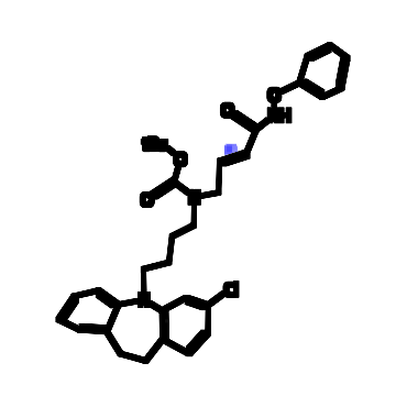 CC(C)(C)OC(=O)N(C/C=C/C(=O)NOc1ccccc1)CCCCN1c2ccccc2CCc2ccc(Cl)cc21